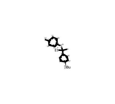 CC[C@H](C)c1ccc(C(C)(CC)Sc2ccc(C)cc2)cc1